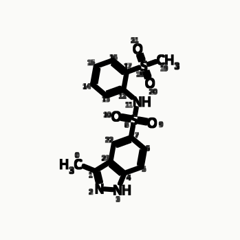 Cc1n[nH]c2ccc(S(=O)(=O)Nc3ccccc3S(C)(=O)=O)cc12